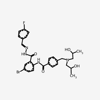 CC(O)CN(Cc1ccc(C(=O)Nc2ccc(Br)cc2C(=O)N/N=C/c2ccc(F)cc2)cc1)CC(C)O